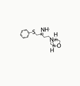 [NH][C@H](CCN1C[C@H]2C[C@@H]1CO2)CSc1ccccc1